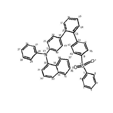 O=S(=O)(c1ccccc1)c1ccc(-c2ccccc2-c2ccc(N(c3ccccc3)c3cccc4ccccc34)cc2)cc1